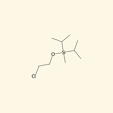 CC(C)[Si](C)(OCCCl)C(C)C